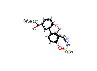 COC(=O)c1ccc2c(c1)-c1cccc(/C=N\[S+]([O-])C(C)(C)C)c1CO2